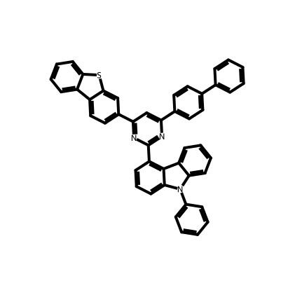 c1ccc(-c2ccc(-c3cc(-c4ccc5c(c4)sc4ccccc45)nc(-c4cccc5c4c4ccccc4n5-c4ccccc4)n3)cc2)cc1